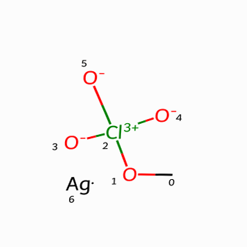 CO[Cl+3]([O-])([O-])[O-].[Ag]